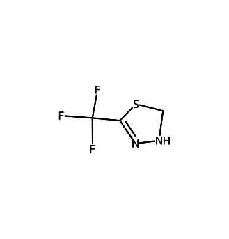 FC(F)(F)C1=NNCS1